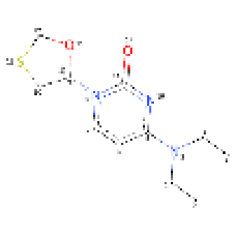 CCN(CC)c1ccn([C@@H]2CSCO2)c(=O)n1